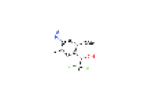 C=Nc1cc(OC)c(C(O)C(F)(F)Cl)cc1C